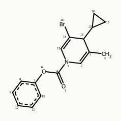 CC1=CN(C(=O)Oc2ccccc2)C=C(Br)C1C1CC1